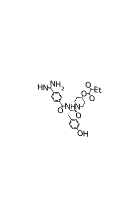 CCC(=O)C(=O)OC1CCN(C(=O)[C@H](Cc2ccc(O)cc2)NC(=O)c2ccc(C(=N)N)cc2)CC1